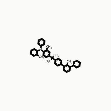 Cc1ccccc1N(c1ccccc1)c1ccc(C(C)(C)c2ccc(-c3cccc(-c4ccccc4)c3C)cc2)cc1C